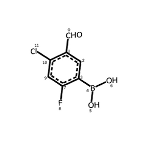 O=Cc1cc(B(O)O)c(F)cc1Cl